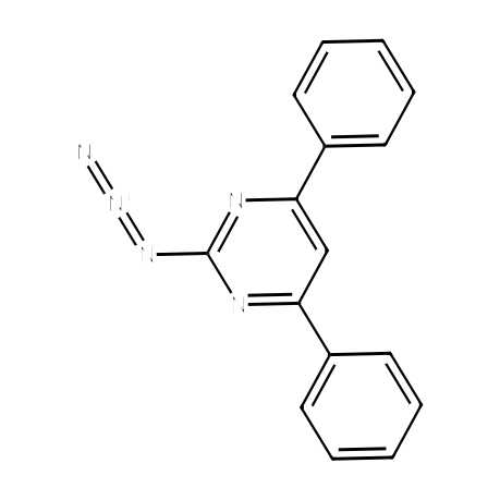 [N-]=[N+]=Nc1nc(-c2ccccc2)cc(-c2ccccc2)n1